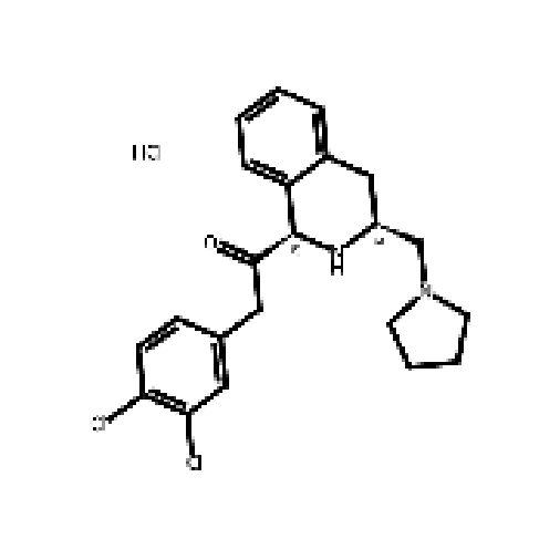 Cl.O=C(Cc1ccc(Cl)c(Cl)c1)[C@@H]1N[C@H](CN2CCCC2)Cc2ccccc21